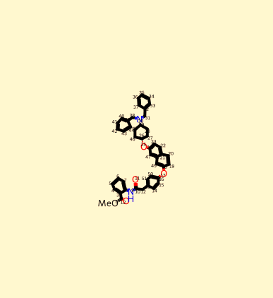 COC(=O)c1ccccc1NC(=O)Cc1ccc(Oc2ccc3ccc(O[C@H]4CC[C@@H](N(Cc5ccccc5)Cc5ccccc5)CC4)cc3c2)cc1